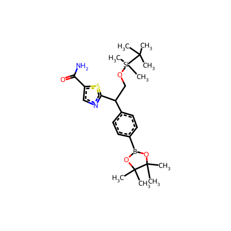 CC1(C)OB(c2ccc(C(CO[Si](C)(C)C(C)(C)C)c3ncc(C(N)=O)s3)cc2)OC1(C)C